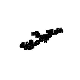 CC(C)c1ccccc1C1CN(Cc2ccc(-n3cccn3)cc2)CCN1C1CC2(CCN(c3ccc(C(=O)NS(=O)(=O)c4ccc(NCC5CCC(C)(O)CC5)c([N+](=O)[O-])c4)c(Oc4cnc5[nH]ccc5c4)c3)CC2)C1